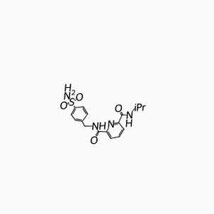 CC(C)NC(=O)c1cccc(C(=O)NCc2ccc(S(N)(=O)=O)cc2)n1